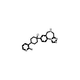 Fc1ncccc1C1CCC(Cl)(c2ccc3c(c2)CNCc2nncn2-3)CC1